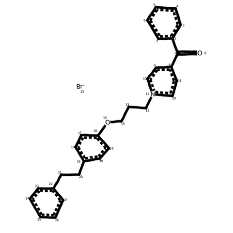 O=C(c1ccccc1)c1cc[n+](CCCOc2ccc(CCc3ccccc3)cc2)cc1.[Br-]